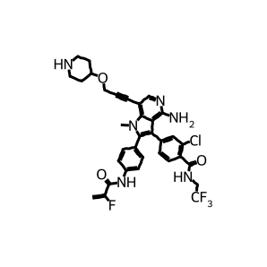 C=C(F)C(=O)Nc1ccc(-c2c(-c3ccc(C(=O)NCC(F)(F)F)c(Cl)c3)c3c(N)ncc(C#CCOC4CCNCC4)c3n2C)cc1